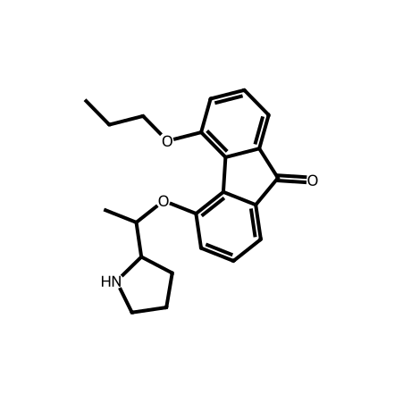 CCCOc1cccc2c1-c1c(OC(C)C3CCCN3)cccc1C2=O